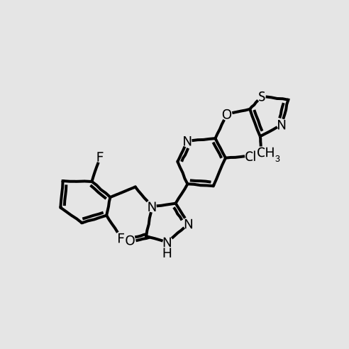 Cc1ncsc1Oc1ncc(-c2n[nH]c(=O)n2Cc2c(F)cccc2F)cc1Cl